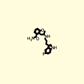 NC(=O)c1cccc2c1C[C@H](NCCCc1c[nH]c3ccc(F)cc13)CO2